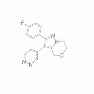 Fc1ccc(-c2nn3c(c2-c2ccnnc2)COCC3)cc1